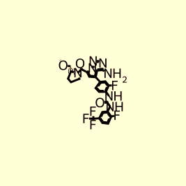 COC[C@H]1CCCN1C(=O)c1cc(-c2ccc(NC(=O)Nc3cc(C(F)(F)F)ccc3F)c(F)c2)c2c(N)ncnn12